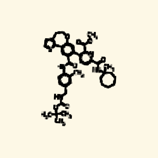 COC(=O)c1nc(C(=O)NC2(C)CCCCCC2)ccc1-c1cc2c(cc1C(=O)Nc1ccc(CNC(=O)OC(C)(C)C)cc1C)-c1sccc1CCO2